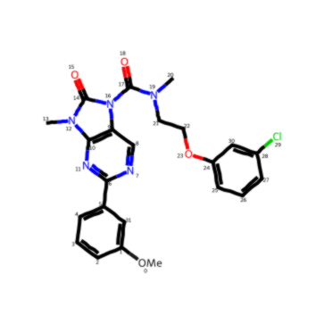 COc1cccc(-c2ncc3c(n2)n(C)c(=O)n3C(=O)N(C)CCOc2cccc(Cl)c2)c1